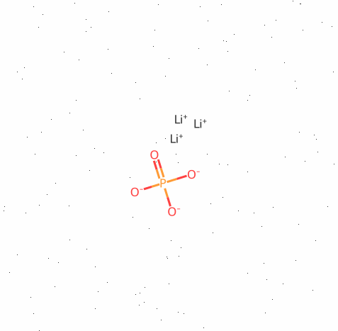 O=P([O-])([O-])[O-].[Li+].[Li+].[Li+]